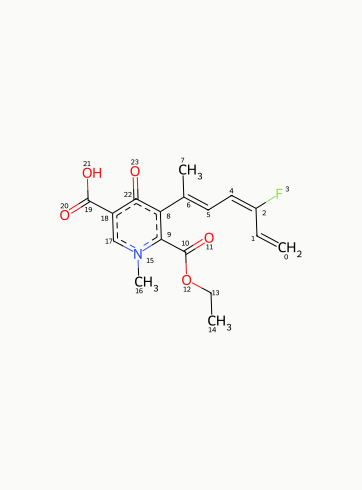 C=C/C(F)=C\C=C(/C)c1c(C(=O)OCC)n(C)cc(C(=O)O)c1=O